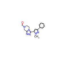 Cn1nc(-c2ccccc2)cc1-c1nnc2n1CCN(C=O)C2